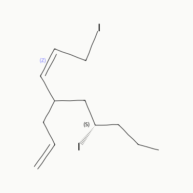 C=CCC(/C=C\CI)C[C@@H](I)CCC